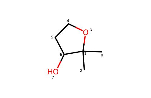 CC1(C)OCCC1O